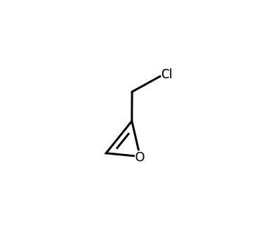 ClCC1=CO1